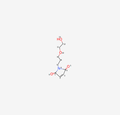 O=C1C=CC(=O)N1CCCOCCO